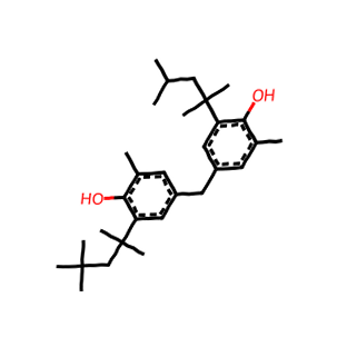 Cc1cc(Cc2cc(C)c(O)c(C(C)(C)CC(C)(C)C)c2)cc(C(C)(C)CC(C)C)c1O